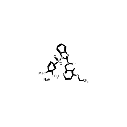 COc1ccc(S(=O)(=O)n2c([S+]([O-])Cc3nccc(OCC(F)(F)F)c3C)nc3ccccc32)cc1C(=O)O.[NaH]